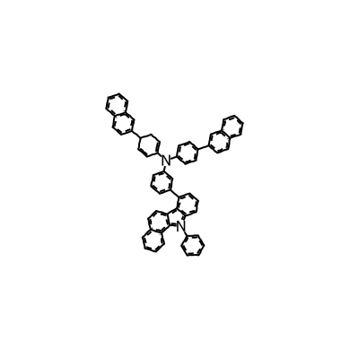 C1=CC(c2ccc3ccccc3c2)CC=C1N(c1ccc(-c2ccc3ccccc3c2)cc1)c1cccc(-c2cccc3c2c2ccc4ccccc4c2n3-c2ccccc2)c1